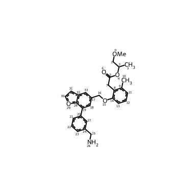 COCC(C)OC(=O)Cc1c(C)cccc1OCc1cc(-c2cccc(CN)c2)c2occc2c1